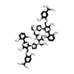 CCN(CC(=O)NC(C(N)=O)N(CC)[C@H]1CCN(c2nc(-c3c(C)cccc3C)nc(C)c2COc2cc(C(C)C)ccc2C)C1)[C@@H]1CCN(c2nc(-c3c(C)cccc3C)nc(C)c2COc2cc(C(C)C)ccc2C)C1